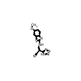 COc1ccc2nc(NC=C(C#N)c3nnn[nH]3)sc2c1